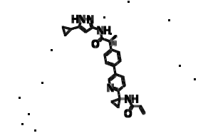 C=CC(=O)NC1(c2ccc(-c3ccc([C@H](C)C(=O)Nc4cc(C5CC5)[nH]n4)cc3)cn2)CC1